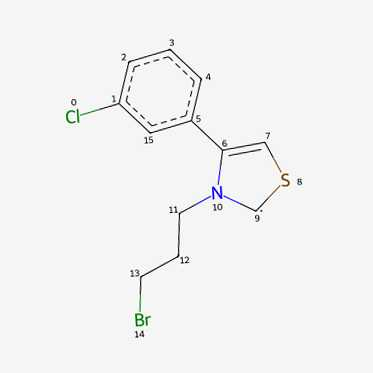 Clc1cccc(C2=CS[CH]N2CCCBr)c1